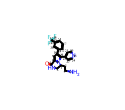 NCCC1CNC(=O)c2cc(-c3cccc(C(F)(F)F)c3)c(-c3ccncc3)n21